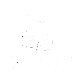 [2H]C1([2H])C[C@@]2([2H])[C@@H]3N(C([2H])([2H])[2H])CC[C@@]24c2c(ccc(OC)c2OC4C1=O)C3([2H])[2H]